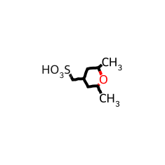 CC1CC(CS(=O)(=O)O)CC(C)O1